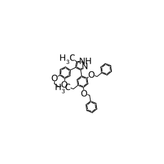 CCc1cc(-c2n[nH]c(C)c2-c2ccc3c(c2)OCCO3)c(OCc2ccccc2)cc1OCc1ccccc1